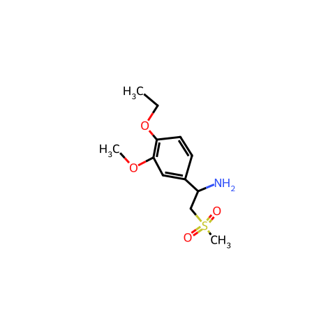 CCOc1ccc(C(N)CS(C)(=O)=O)cc1OC